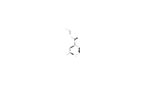 CCSC(=O)c1ccnc(Br)c1